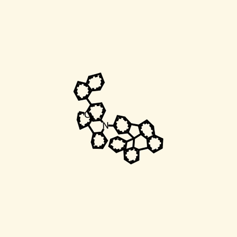 c1ccc(-c2ccccc2N(c2ccc(-c3cccc4ccccc34)cc2)c2ccc3c(c2)C2(c4ccccc4)c4ccccc4-c4cccc5ccc-3c2c45)cc1